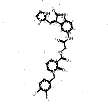 O=C(CNC(=O)c1cccn(Cc2ccc(F)c(F)c2)c1=O)Nc1ccc2c(c1)/C(=C/c1ncc[nH]1)C(=O)N2